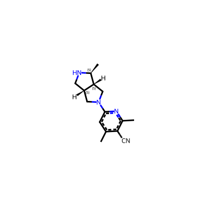 Cc1cc(N2C[C@@H]3CN[C@@H](C)[C@@H]3C2)nc(C)c1C#N